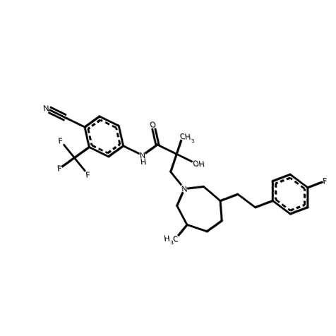 CC1CCC(CCc2ccc(F)cc2)CN(CC(C)(O)C(=O)Nc2ccc(C#N)c(C(F)(F)F)c2)C1